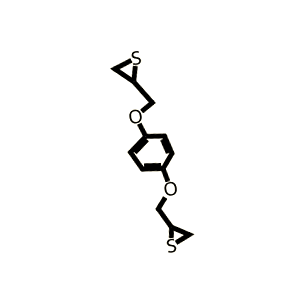 c1cc(OCC2CS2)ccc1OCC1CS1